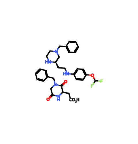 FC(F)Oc1ccc(NCC[C@@H]2CN(Cc3ccccc3)CCN2)cc1.O=C(O)C[C@H]1NC(=O)CN(Cc2ccccc2)C1=O